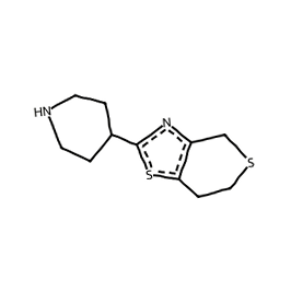 C1CC(c2nc3c(s2)CCSC3)CCN1